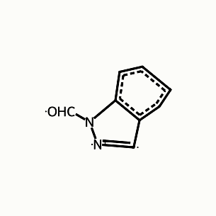 O=[C]N1[N+]=[C]c2ccccc21